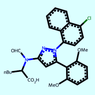 CCCCC(C(=O)O)N(C=O)c1cc(-c2c(OC)cccc2OC)n(-c2ccc(Cl)c3ccccc23)n1